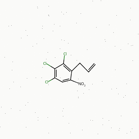 C=CCc1c([N+](=O)[O-])cc(Cl)c(Cl)c1Cl